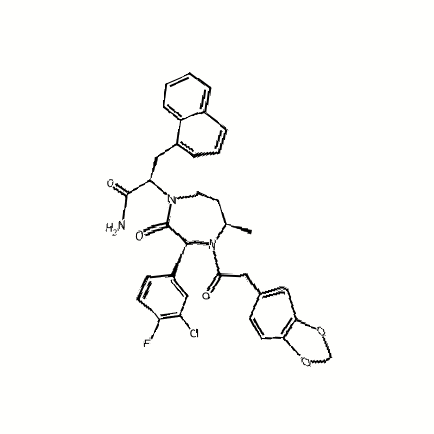 C[C@@H]1CCN([C@H](Cc2cccc3ccccc23)C(N)=O)C(=O)[C@H](c2ccc(F)c(Cl)c2)N1C(=O)Cc1ccc2c(c1)OCO2